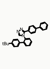 CC(C)(C)c1ccc(-c2ccccc2-n2cnnc2-c2ccc(-c3ccccc3)cc2)cc1